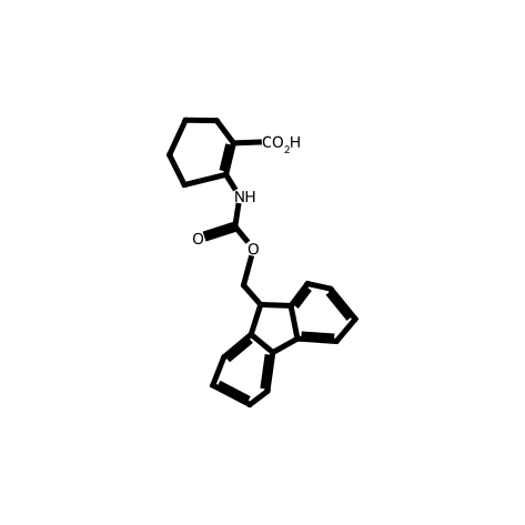 O=C(NC1=C(C(=O)O)CCCC1)OCC1c2ccccc2-c2ccccc21